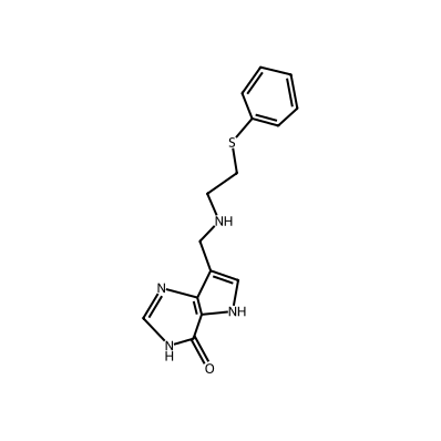 O=c1[nH]cnc2c(CNCCSc3ccccc3)c[nH]c12